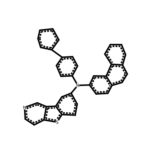 c1ccc(-c2ccc(N(c3ccc4ccc5ccccc5c4c3)c3ccc4sc5ccncc5c4c3)cc2)cc1